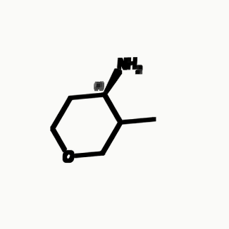 CC1COCC[C@H]1N